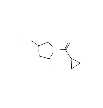 Cl.NC1CCN(C(=O)C2CC2)C1